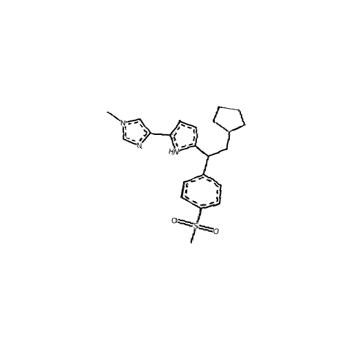 Cn1cnc(-c2ccc(C(CC3CCCC3)c3ccc(S(C)(=O)=O)cc3)[nH]2)c1